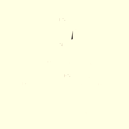 COC(=O)[C@H](CCSC)NC(=O)CN(Cc1ccccc1OC)C[C@@H]1CCCN1.Cl